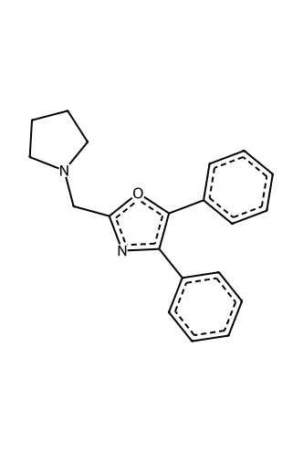 c1ccc(-c2nc(CN3CCCC3)oc2-c2ccccc2)cc1